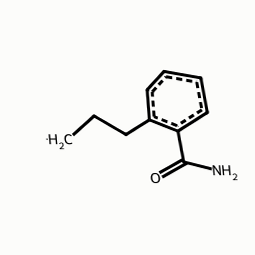 [CH2]CCc1ccccc1C(N)=O